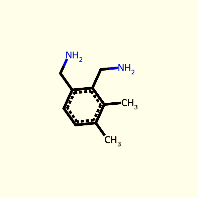 Cc1ccc(CN)c(CN)c1C